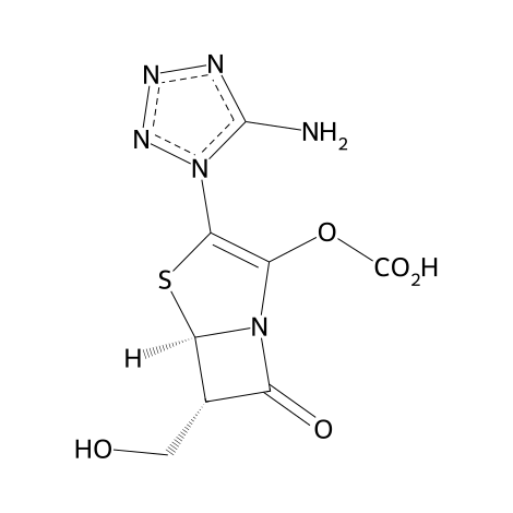 Nc1nnnn1C1=C(OC(=O)O)N2C(=O)[C@H](CO)[C@H]2S1